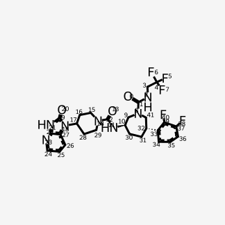 O=C(NCC(F)(F)F)N1C[C@H](NC(=O)N2CCC(n3c(=O)[nH]c4ncccc43)CC2)CC[C@@H](c2cccc(F)c2F)C1